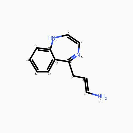 NC=CCC1=NC=CNc2ccccc21